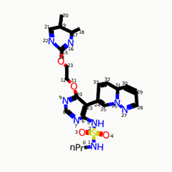 CCCNS(=O)(=O)Nc1ncnc(OCCOC2=NC(C)C(C)C=N2)c1C1=CN2N=CC#CC2C=C1